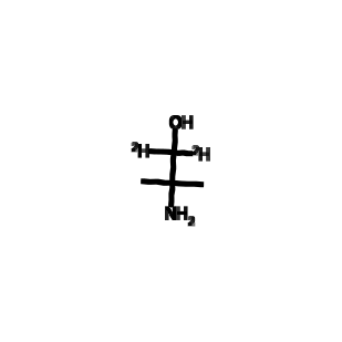 [2H]C([2H])(O)C(C)(C)N